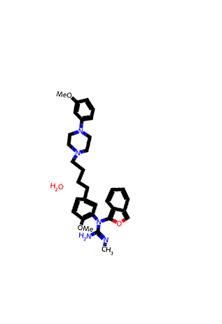 CN=C(N)N(c1cc(CCCCN2CCN(c3cccc(OC)c3)CC2)ccc1OC)c1occ2ccccc12.O